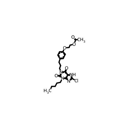 CCCCCn1c(=O)n(CCCc2ccc(OCCOC(C)=O)cc2)c(=O)c2[nH]c(Cl)nc21